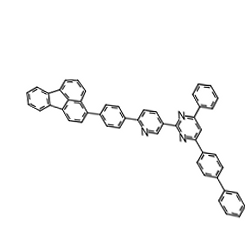 c1ccc(-c2ccc(-c3cc(-c4ccccc4)nc(-c4ccc(-c5ccc(-c6ccc7c8c(cccc68)-c6ccccc6-7)cc5)nc4)n3)cc2)cc1